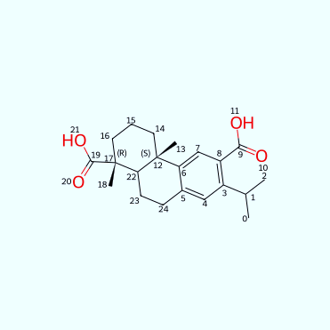 CC(C)c1cc2c(cc1C(=O)O)[C@@]1(C)CCC[C@@](C)(C(=O)O)C1CC2